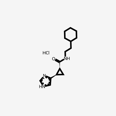 Cl.O=C(NCCC1CCCCC1)[C@@H]1C[C@H]1c1c[nH]cn1